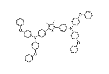 Cc1c(-c2ccc(N(c3ccc(Oc4ccccc4)cc3)c3ccc(Oc4ccccc4)cc3)cc2)sc(-c2ccc(N(c3ccc(Oc4ccccc4)cc3)c3ccc(Oc4ccccc4)cc3)cc2)c1C